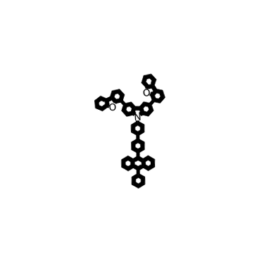 c1ccc(-c2c3ccccc3c(-c3ccc(-c4ccc(-n5c6ccc(-c7cccc8c7oc7ccccc78)cc6c6cc(-c7cccc8c7oc7ccccc78)ccc65)cc4)cc3)c3ccccc23)cc1